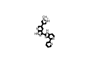 CN1C=C(c2cnc3[nH]nc(-c4nc5c(-c6ccccn6)nccc5[nH]4)c3c2)CN1